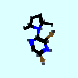 CC1=CCC(C)N1c1ncc(Br)nc1Br